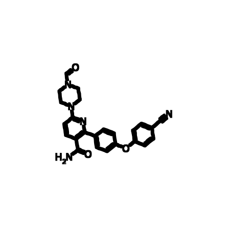 N#Cc1ccc(Oc2ccc(-c3nc(N4CCN(C=O)CC4)ccc3C(N)=O)cc2)cc1